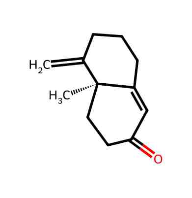 C=C1CCCC2=CC(=O)CC[C@@]12C